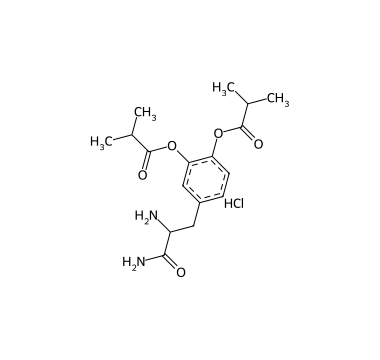 CC(C)C(=O)Oc1ccc(CC(N)C(N)=O)cc1OC(=O)C(C)C.Cl